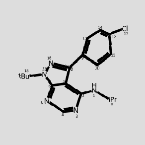 CC(C)Nc1ncnc2c1c(-c1ccc(Cl)cc1)nn2C(C)(C)C